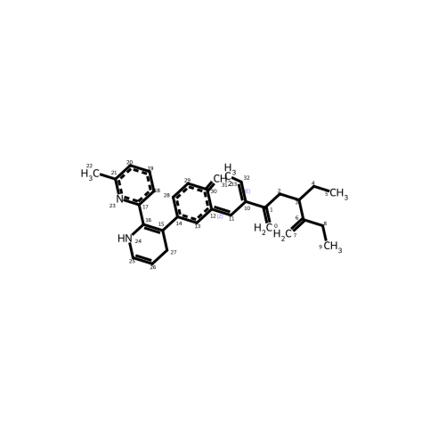 C=C(CC(CC)C(=C)CC)C(/C=c1/cc(C2=C(c3cccc(C)n3)NC=CC2)ccc1=C)=C/C